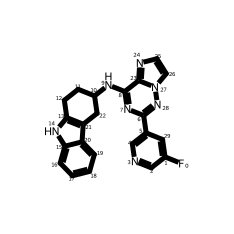 Fc1cncc(-c2nc(NC3CCc4[nH]c5ccccc5c4C3)c3nccn3n2)c1